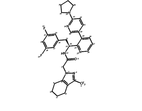 O=C(Cn1nc(C(F)(F)F)c2c1CCCC2)N[C@@H](Cc1cc(F)cc(F)c1)c1ncccc1-c1ccc(N2CCCC2)nc1